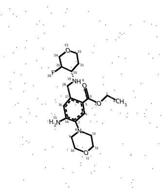 CCOC(=O)c1cc(N2CCOCC2)c(N)cc1CN[C@H]1CCOCC1F